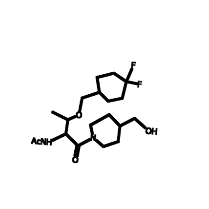 CC(=O)NC(C(=O)N1CCC(CO)CC1)C(C)OCC1CCC(F)(F)CC1